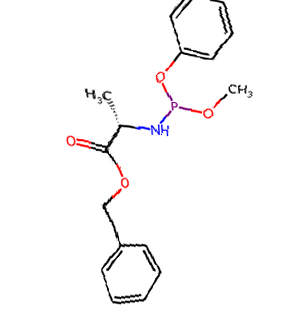 COP(N[C@@H](C)C(=O)OCc1ccccc1)Oc1ccccc1